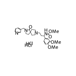 COC(=O)NC(CCN1CCC2(CC1)CCN(Cc1cccnc1)C2=O)c1ccc(OC)c(OC)c1.Cl.Cl